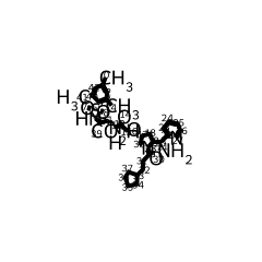 Cc1cc(C)c(S(=O)(=O)NC(CNC(=O)COC2CC(C(N)c3ccccn3)N(C(=O)CCC3CCCC3)C2)C(=O)O)c(C)c1